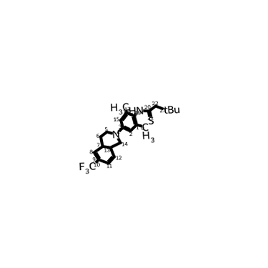 Cc1cc(N2CCC3C=C(C(F)(F)F)C=CC3C2)cc(C)c1NC(=S)CC(C)(C)C